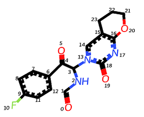 O=CNC(C(=O)c1ccc(F)cc1)n1cc2c(nc1=O)OCCC2